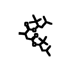 C=C(CC(=O)OC(CC(C)C)C(C)(C)C)C(=O)OC(CC(C)C)C(C)(C)C